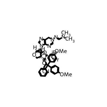 COc1ccc(C(OC[C@@]23CO[C@@H]([C@H](n4cnc5c4N=CN(N=CN(C)C)C5)O2)[C@@H]3OP(OCCC#N)N(C(C)C)C(C)C)(c2ccccc2)c2ccc(OC)cc2)cc1